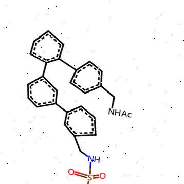 CC(=O)NCc1ccc(-c2ccc[c]c2-c2cccc(-c3cccc(CNS(C)(=O)=O)c3)c2)cc1